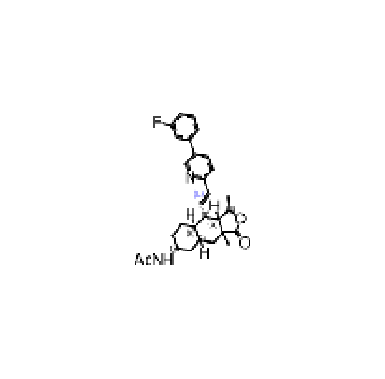 CC(=O)N[C@@H]1CC[C@@H]2[C@@H](C1)CC1(C)C(=O)O[C@H](C)[C@H]1[C@H]2/C=C/c1ccc(-c2cccc(F)c2)cn1